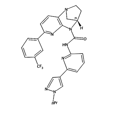 CCCn1cc(-c2cccc(NC(=O)N3c4nc(-c5cccc(C(F)(F)F)c5)ccc4N4CC[C@H]3C4)n2)cn1